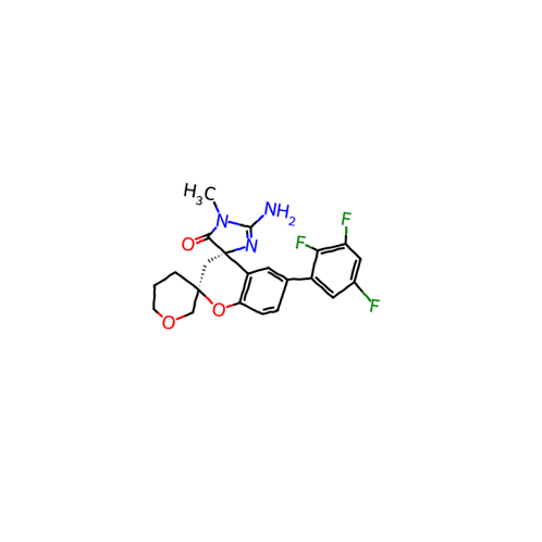 CN1C(=O)[C@@]2(C[C@]3(CCCOC3)Oc3ccc(-c4cc(F)cc(F)c4F)cc32)N=C1N